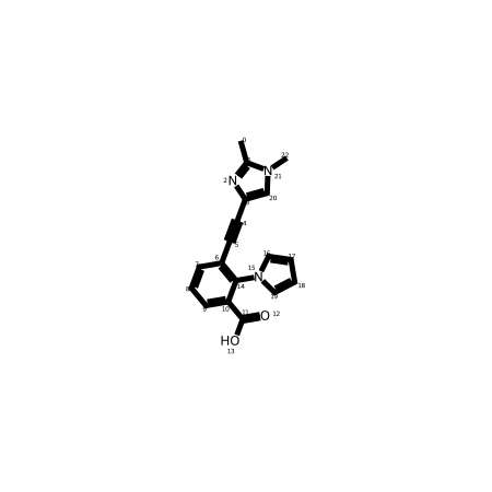 Cc1nc(C#Cc2cccc(C(=O)O)c2-n2cccc2)cn1C